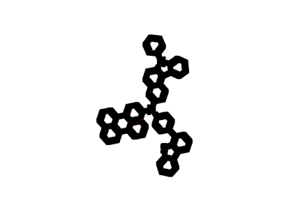 c1ccc(-c2cccc3cccc(-c4ccc(N(c5ccc(-c6cccc7c6sc6ccccc67)cc5)c5ccc6c(ccc7c6c6ccccc6n7-c6ccccc6)c5)cc4)c23)cc1